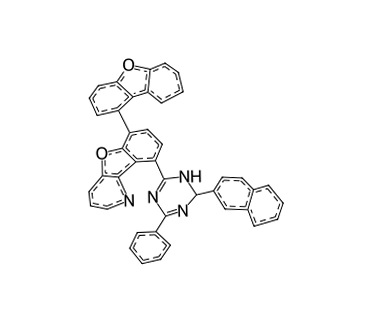 c1ccc(C2=NC(c3ccc4ccccc4c3)NC(c3ccc(-c4cccc5oc6ccccc6c45)c4oc5cccnc5c34)=N2)cc1